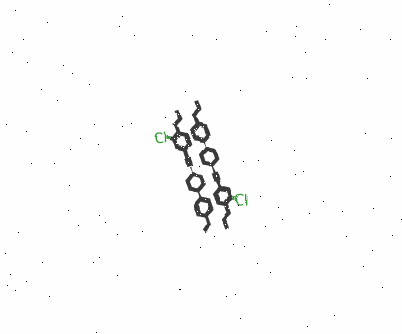 CCCc1ccc(C#C[C@H]2CC[C@H](c3ccc(CC)cc3)CC2)cc1Cl.CCCc1ccc([C@H]2CC[C@H](C#Cc3ccc(CCC)c(Cl)c3)CC2)cc1